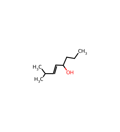 CCCC(O)C=CC(C)C